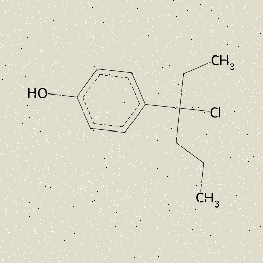 CCCC(Cl)(CC)c1ccc(O)cc1